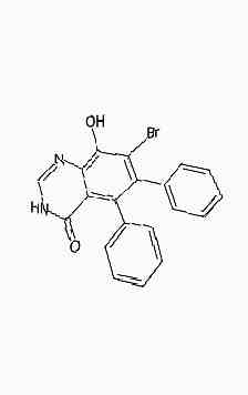 O=c1[nH]cnc2c(O)c(Br)c(-c3ccccc3)c(-c3ccccc3)c12